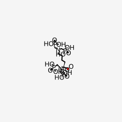 O=C(O)[C@H](CCCCN(CP(=O)(O)O)CP(=O)(O)O)N(CP(=O)(O)O)CP(=O)(O)O